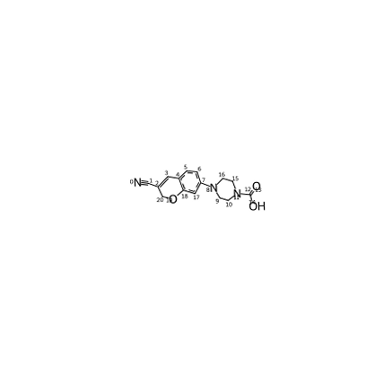 N#CC1=Cc2ccc(N3CCN(C(=O)O)CC3)cc2OC1